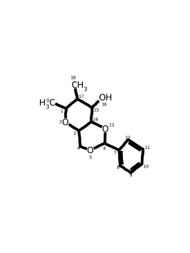 CC1OC2COC(c3ccccc3)OC2C(O)C1C